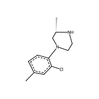 Cc1ccc(N2CCN[C@@H](C)C2)c(Cl)c1